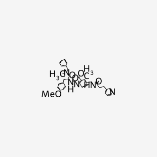 COc1ccc(C[C@H](Nc2nc3ccc(CNC(=O)CCc4cccnc4)c(C)c3c(=O)o2)C(=O)N(C)Cc2ccccc2)cc1